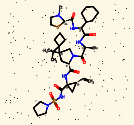 C=C[C@@H]1C[C@]1(NC(=O)[C@@H]1C[C@@]2(CN1C(=O)[C@@H](NC(=O)[C@@H](NC(=O)[C@@H]1SCCN1CC)C1CCCCC1)C(C)(C)C)C(C)(C)C21CCC1)C(=O)NS(=O)(=O)N1CCCC1